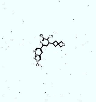 Cn1cc2cc(C3=CC(C4CC5(COC5)C4)C(C#N)C(S)=N3)cnc2n1